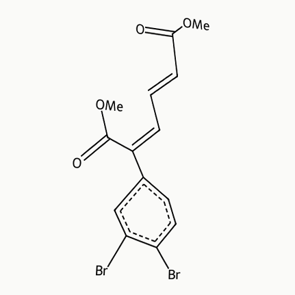 COC(=O)C=CC=C(C(=O)OC)c1ccc(Br)c(Br)c1